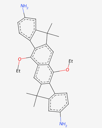 CCOc1c2c(cc3c(OCC)c4c(cc13)C(C)(C)c1cc(N)ccc1-4)C(C)(C)c1cc(N)ccc1-2